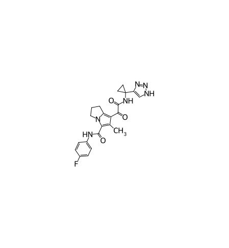 Cc1c(C(=O)C(=O)NC2(c3c[nH]nn3)CC2)c2n(c1C(=O)Nc1ccc(F)cc1)CCC2